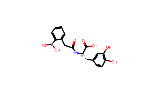 O=C(Cc1ccccc1B(O)O)N[C@@H](Cc1ccc(O)c(O)c1)C(=O)O